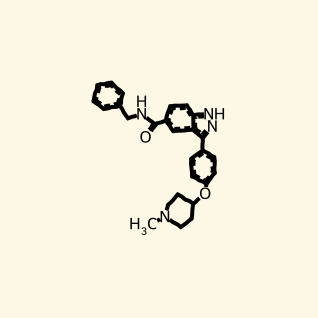 CN1CCC(Oc2ccc(-c3n[nH]c4ccc(C(=O)NCc5ccccc5)cc34)cc2)CC1